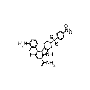 C=C(N)c1cc(F)c(-c2cccc(N)c2C)c2c3c([nH]c12)CC(S(=O)(=O)c1ccc([N+](=O)[O-])cc1)CC3